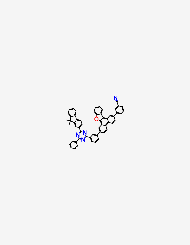 CC1(C)c2ccccc2-c2ccc(-c3nc(-c4ccccc4)nc(-c4cccc(-c5ccc6c7ccc(-c8cccc(C#N)c8)cc7c7c8ccccc8oc7c6c5)c4)n3)cc21